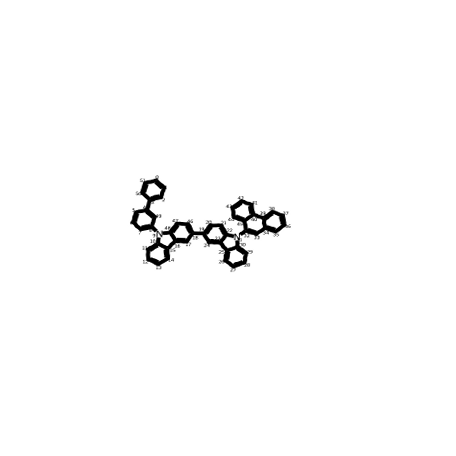 c1ccc(-c2cccc(-n3c4ccccc4c4cc(-c5ccc6c(c5)c5ccccc5n6-c5cc6ccccc6c6ccccc56)ccc43)c2)cc1